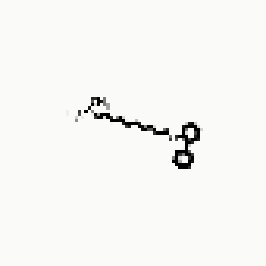 CN(C)CCCCCCCCCCOc1ccccc1-c1ccccc1